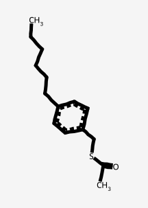 CCCCCCc1ccc(CSC(C)=O)cc1